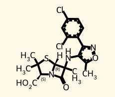 Cc1onc(-c2ccc(Cl)cc2Cl)c1NC1(C)C(=O)N2[C@@H](C(=O)O)C(C)(C)S[C@@H]21